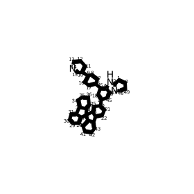 C1=CC2Nc3c(-c4ccc(-c5cccnc5)cc4)cc(-c4ccc5c(c4)C4(c6ccccc6-c6ccccc64)c4ccccc4-5)cc3N2C=C1